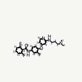 CN(C)CCCNc1cc(Oc2ccc(NC(=O)c3c(F)cccc3F)cc2F)ccn1